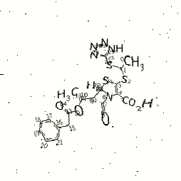 CC(SC1=C(C(=O)O)N2C(=O)[C@H]([C@@H](C)OC(=O)Cc3ccccc3)[C@H]2S1)Sc1nnn[nH]1